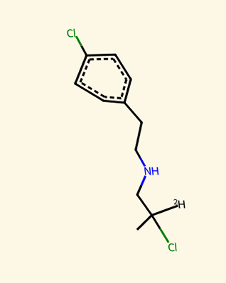 [2H]C(C)(Cl)CNCCc1ccc(Cl)cc1